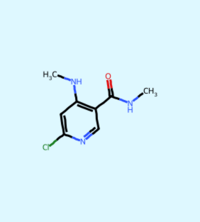 CNC(=O)c1cnc(Cl)cc1NC